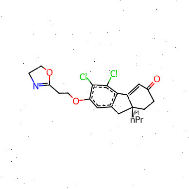 CCC[C@]12CCC(=O)C=C1c1c(cc(OCCC3=NCCO3)c(Cl)c1Cl)C2